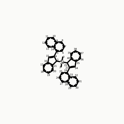 C[Si](C)(C1C(c2cccc3ccccc23)=Cc2ccccc21)C1C(c2cccc3ccccc23)=Cc2ccccc21